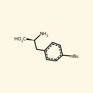 CCCCc1ccc(C[C@H](N)C(=O)O)cc1